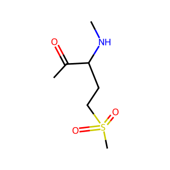 CNC(CCS(C)(=O)=O)C(C)=O